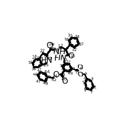 O=C(OCc1ccccc1)c1cc(NC(=O)C(CNC(=O)C2Cc3ccccc3CN2)c2ccccc2)cc(C(=O)OCc2ccccc2)c1